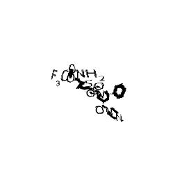 CN1CCN(C(=O)[C@H]2C[C@@H](c3ccccc3)CN(S(=O)(=O)c3ccc(C(N)OC(=O)C(F)(F)F)s3)C2)CC1